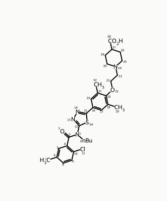 CCCCN(C(=O)c1cc(C)ccc1Cl)c1nnc(-c2cc(C)c(OCCN3CCC(C(=O)O)CC3)c(C)c2)s1